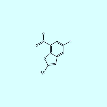 Cc1cc2cc(F)cc([N+](=O)[O-])c2o1